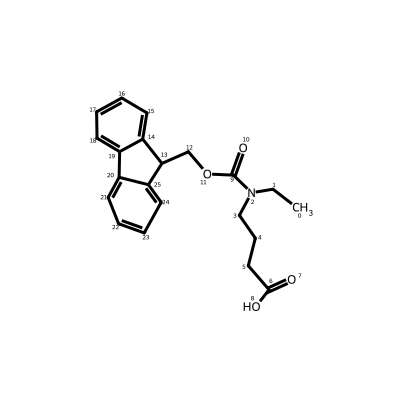 CCN(CCCC(=O)O)C(=O)OCC1c2ccccc2-c2ccccc21